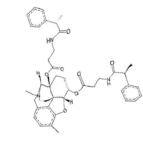 Cc1ccc2c3c1O[C@H]1C(OC(=O)CCNC(=O)[C@@H](C)c4ccccc4)=CC[C@@]4(OC(=O)CCNC(=O)[C@@H](C)c5ccccc5)[C@@H](C2)N(C)CC[C@]314